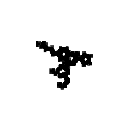 CCCCc1ccc(NC(=O)C2CCCC2)c(NC(=NC(=O)OC)SC)c1